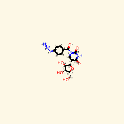 [N-]=[N+]=Nc1ccc(C(=O)n2cc([C@@H]3O[C@H](CO)[C@@H](O)[C@H]3O)c(=O)[nH]c2=O)cc1